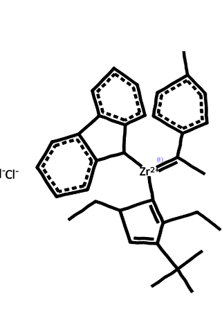 CCC1=[C](/[Zr+2](=[C](\C)c2ccc(C)cc2)[CH]2c3ccccc3-c3ccccc32)C(CC)C=C1C(C)(C)C.[Cl-].[Cl-]